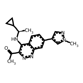 CC(=O)c1nnc2cc(-c3cnn(C)c3)ccc2c1N[C@H](C)C1CC1